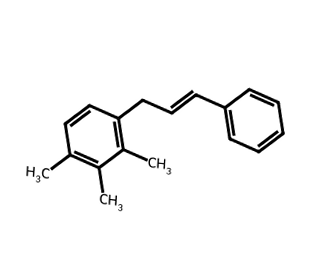 Cc1ccc(CC=Cc2ccccc2)c(C)c1C